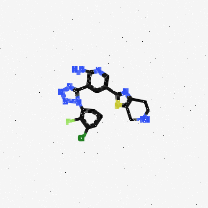 Nc1ncc(-c2nc3c(s2)CNCC3)cc1-c1nnnn1-c1cccc(Cl)c1F